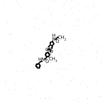 C=CC(=O)NC1CC2CN(S(=O)(=O)c3ccc(C(=O)NCCc4ccccc4)c(C)c3)CC2C1